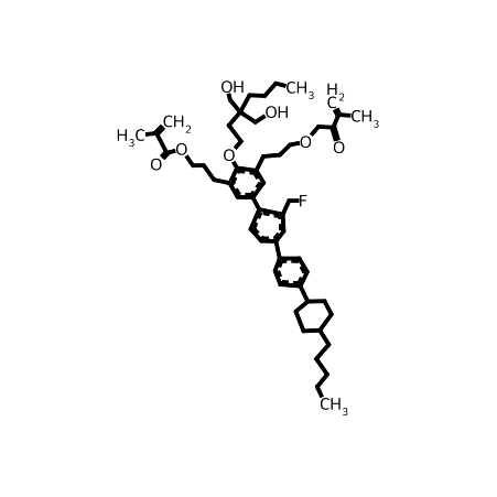 C=C(C)C(=O)COCCCc1cc(-c2ccc(-c3ccc(C4CCC(CCCCC)CC4)cc3)cc2CF)cc(CCCOC(=O)C(=C)C)c1OCCC(CO)(CO)CCCC